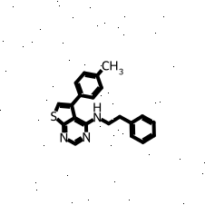 Cc1ccc(-c2csc3ncnc(NCCc4ccccc4)c23)cc1